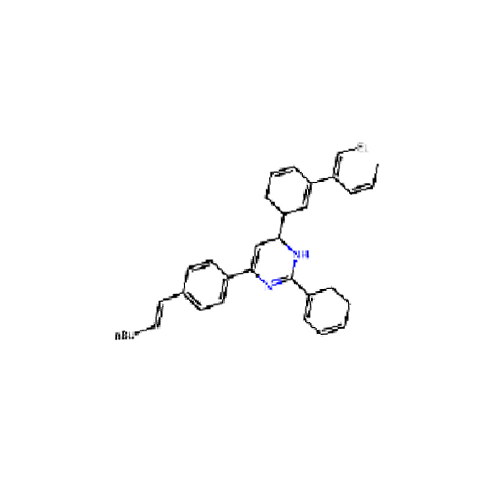 C/C=C\C(=C/CC)C1=CC(C2C=C(c3ccc(/C=C/CCCC)cc3)N=C(C3=CC=CCC3)N2)CC=C1